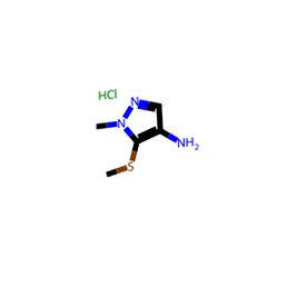 CSc1c(N)cnn1C.Cl